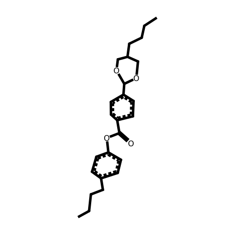 CCCCc1ccc(OC(=O)c2ccc(C3OCC(CCCC)CO3)cc2)cc1